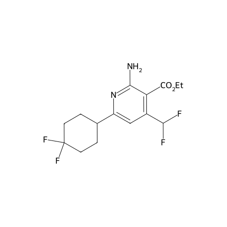 CCOC(=O)c1c(C(F)F)cc(C2CCC(F)(F)CC2)nc1N